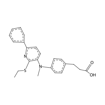 CCSc1nc(-c2ccccc2)ccc1N(C)c1ccc(CCC(=O)O)cc1